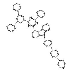 c1ccc(-c2ccc(-c3ccc(-n4c5ccccc5c5c(-c6nc(-c7ccccc7)nc(-c7cc(-c8ccccc8)cc(-c8ccccc8)c7)n6)cccc54)cc3)cc2)cc1